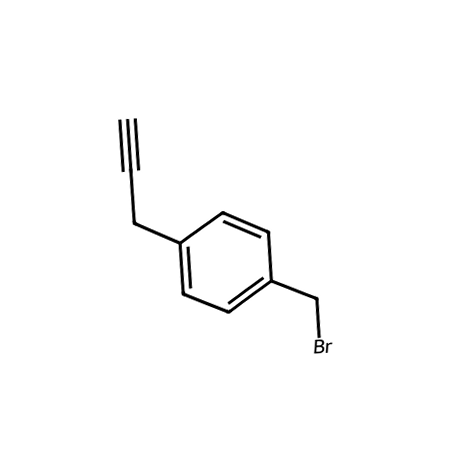 C#CCc1ccc(CBr)cc1